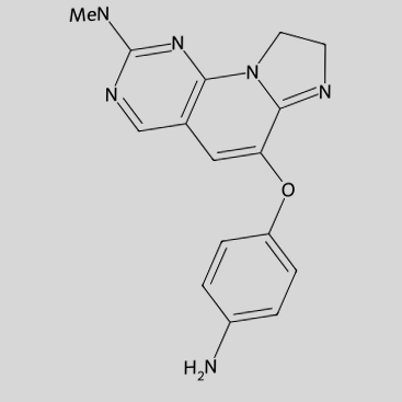 CNc1ncc2c(n1)N1CCN=C1C(Oc1ccc(N)cc1)=C2